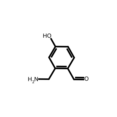 NCc1cc(O)ccc1C=O